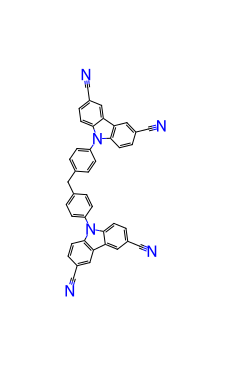 N#Cc1ccc2c(c1)c1cc(C#N)ccc1n2-c1ccc(Cc2ccc(-n3c4ccc(C#N)cc4c4cc(C#N)ccc43)cc2)cc1